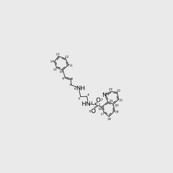 O=S(=O)(NCCNC/C=C/c1ccccc1)c1cccc2cccnc12